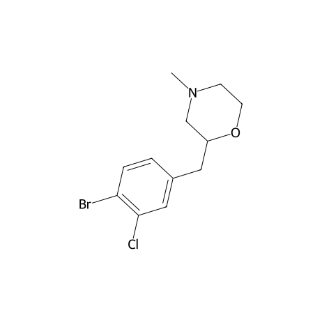 CN1CCOC(Cc2ccc(Br)c(Cl)c2)C1